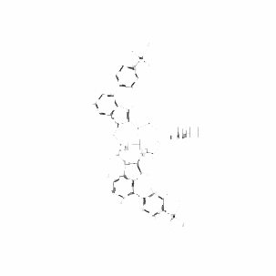 CCCC1=Cc2c(-c3ccc(C(C)(C)C)cc3)cccc2C1C[SiH2]CC1C(CCC)=Cc2c(-c3ccc(C(C)(C)C)cc3)cccc21.[LiH].[LiH]